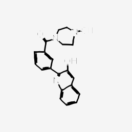 CN1CCN(C(=O)c2cccc(-c3nc4ccccc4cc3O)c2)CC1